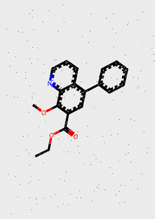 CCOC(=O)c1cc(-c2ccccc2)c2cccnc2c1OC